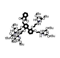 CC(C)(C)OC(=O)/N=C(/NCCOc1cccc(-c2ccc(CN3C(=O)c4ccccc4C3=O)c(OCCN/C(=N/C(=O)OC(C)(C)C)NC(=O)OC(C)(C)C)c2OCCN/C(=N/C(=O)OC(C)(C)C)NC(=O)OC(C)(C)C)c1OCCN/C(=N/C(=O)OC(C)(C)C)NC(=O)OC(C)(C)C)NC(=O)OC(C)(C)C